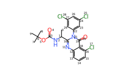 CC(NC(=O)OC(C)(C)C)c1nc2cccc(Cl)c2c(=O)n1-c1cc(Cl)cc(Cl)c1